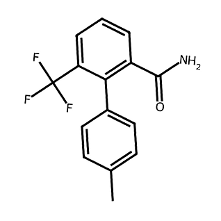 Cc1ccc(-c2c(C(N)=O)cccc2C(F)(F)F)cc1